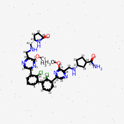 COc1nc(-c2cccc(-c3cccc(-c4cnc(CN[C@@H]5CCC(C(N)=O)C5)c(OC)n4)c3Cl)c2Cl)cnc1CNC[C@@H]1CCC(=O)N1